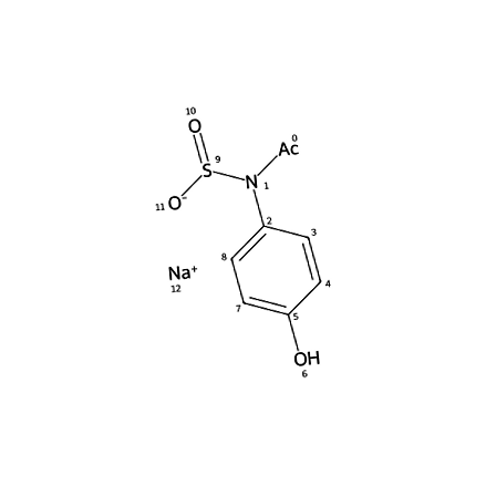 CC(=O)N(c1ccc(O)cc1)S(=O)[O-].[Na+]